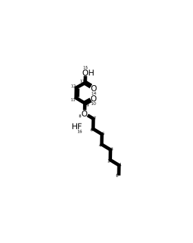 CCCCCCCCOC(=O)/C=C\C(=O)O.F